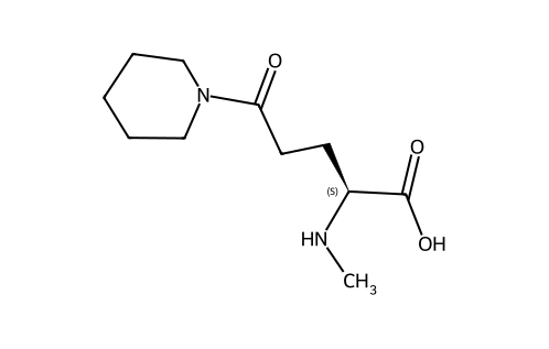 CN[C@@H](CCC(=O)N1CCCCC1)C(=O)O